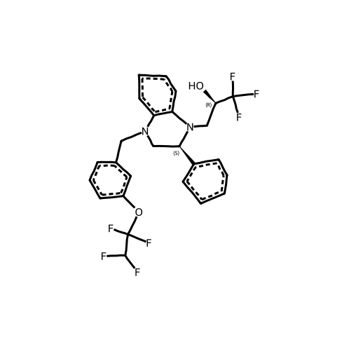 O[C@H](CN1c2ccccc2N(Cc2cccc(OC(F)(F)C(F)F)c2)C[C@@H]1c1ccccc1)C(F)(F)F